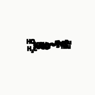 CCCCN(CCCC)c1ccc(/C=C/c2cc[n+](CC(O)C[N+](C)(C)CCO)cc2)s1